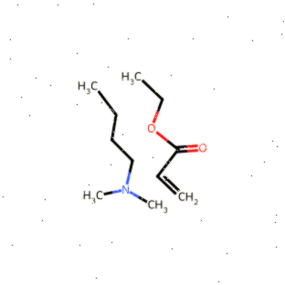 C=CC(=O)OCC.CCCCN(C)C